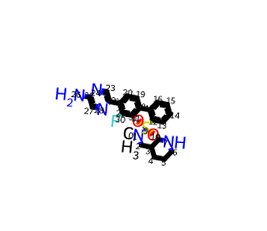 CN(CC1CCCNC1)S(=O)(=O)c1ccccc1-c1ccc(-c2cnc(N)cn2)c(F)c1